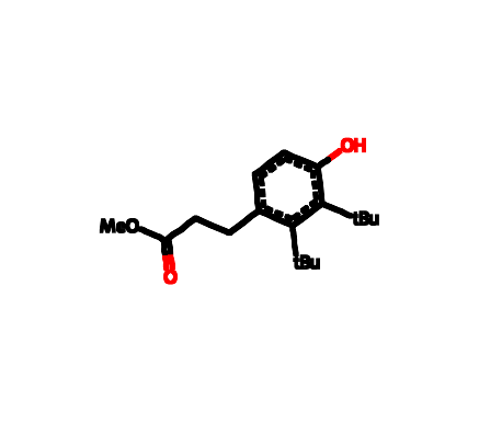 COC(=O)CCc1ccc(O)c(C(C)(C)C)c1C(C)(C)C